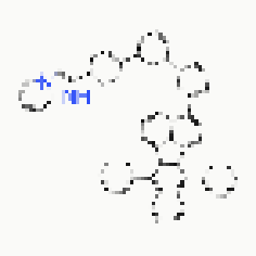 C1=CCCC(C2=c3ccccc3=C(C3=CC=CCC3)C3C4=CC=C(C5=CC=CC(C6C=CC=C(C7=CC=C(C8=CN9C=CC=CC9N8)CC7)C6)C5)C5C=CC=C(C45)C23)=C1